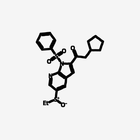 CC[S+]([O-])c1cnc2c(c1)cc(C(=O)CC1CCCC1)n2S(=O)(=O)c1ccccc1